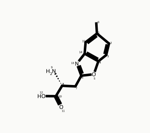 Cc1ccc2oc(C[C@@H](N)C(=O)O)nc2c1